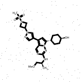 COC[C@H](C)Nc1ncc2c(-c3cnn(C4CN(S(C)(=O)=O)C4)c3)cc([C@H]3CC[C@H](O)CC3)n2n1